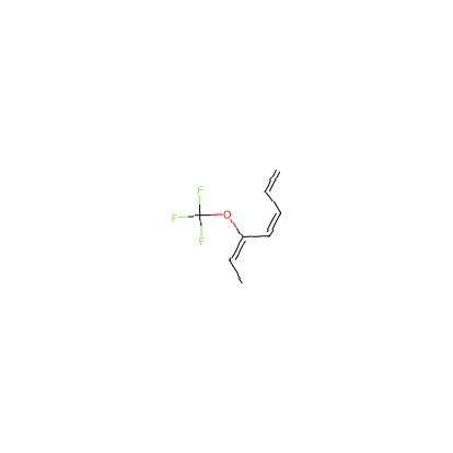 C=C/C=C\C(=C/C)OC(F)(F)F